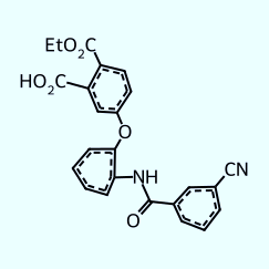 CCOC(=O)c1ccc(Oc2ccccc2NC(=O)c2cccc(C#N)c2)cc1C(=O)O